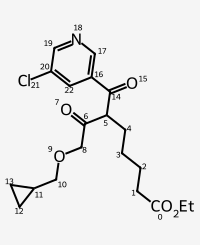 CCOC(=O)CCCCC(C(=O)COCC1CC1)C(=O)c1cncc(Cl)c1